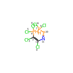 ClC1=C(Cl)[PH](Cl)(Cl)[PH](Cl)(Cl)P=N1